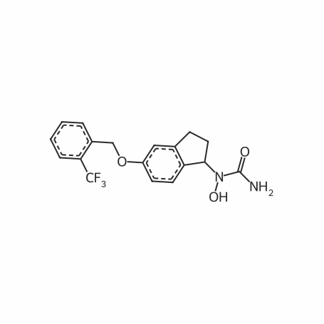 NC(=O)N(O)C1CCc2cc(OCc3ccccc3C(F)(F)F)ccc21